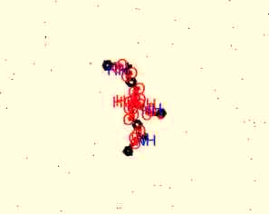 CC(C)[C@H](NC(=O)OCc1ccccc1)C(=O)OC1CCC(C(=O)OCOP(=O)(O)C(O)(CCCNC(=O)OCc2ccccc2)P(=O)(O)OCOC(=O)C2CCC(OC(=O)[C@@H](NC(=O)OCc3ccccc3)C(C)C)CC2)CC1